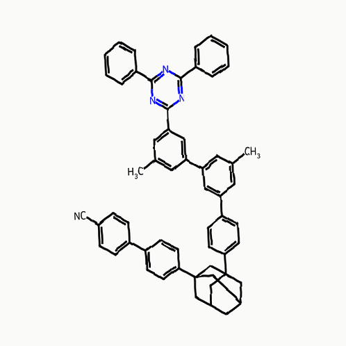 Cc1cc(-c2ccc(C34CC5CC(CC(c6ccc(-c7ccc(C#N)cc7)cc6)(C5)C3)C4)cc2)cc(-c2cc(C)cc(-c3nc(-c4ccccc4)nc(-c4ccccc4)n3)c2)c1